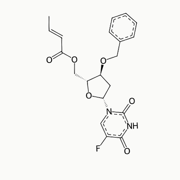 C/C=C/C(=O)OC[C@H]1O[C@@H](n2cc(F)c(=O)[nH]c2=O)C[C@@H]1OCc1ccccc1